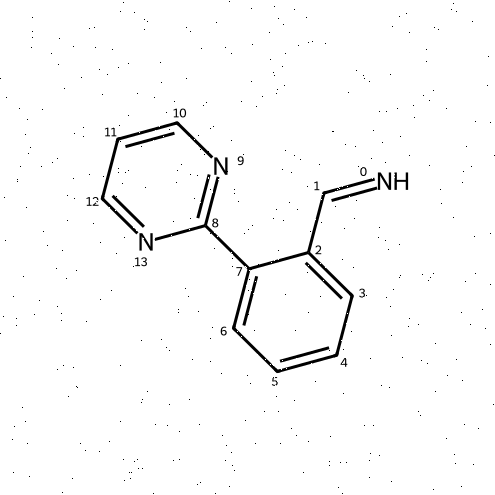 N=Cc1ccccc1-c1ncccn1